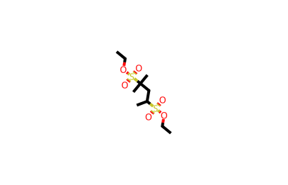 CCOS(=O)(=O)C(C)CC(C)(C)S(=O)(=O)OCC